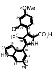 COc1ccc(-c2c(C(=O)O)[nH]c(-c3cc(F)cc4[nH]ccc34)c2C(C)C)c(Cl)c1